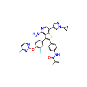 C=C(C)C(=O)Nc1ccc(-c2sc3c(-c4cnn(C5CC5)c4)cnc(N)c3c2-c2ccc(Oc3nccc(C)n3)c(F)c2)cc1